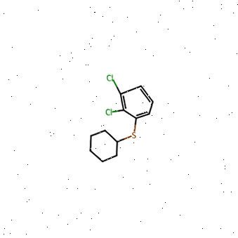 Clc1[c]ccc(SC2CCCCC2)c1Cl